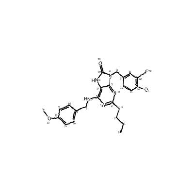 CCCSc1nc(NCc2ccc(OC)cc2)c2[nH]c(=O)n(Cc3ccc(Cl)c(F)c3)c2n1